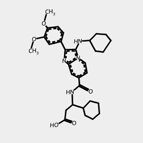 COc1ccc(-c2nc3cc(C(=O)NC(CC(=O)O)C4CCCCC4)ccn3c2NC2CCCCC2)cc1OC